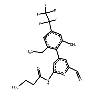 CCCC(=O)Nc1cc(-c2c(C)cc(C(F)(F)C(F)(F)F)cc2CC)cc(C=O)n1